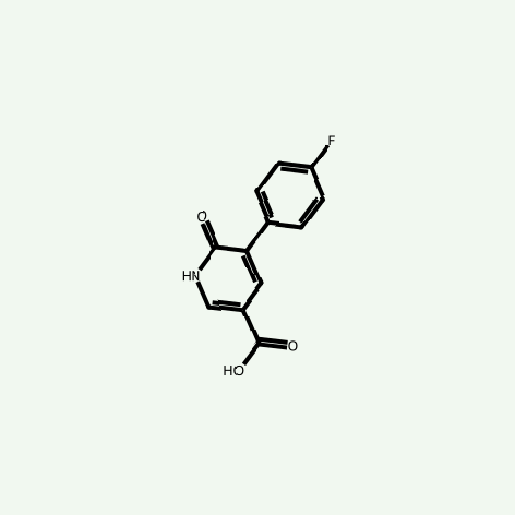 O=C(O)c1c[nH]c(=O)c(-c2ccc(F)cc2)c1